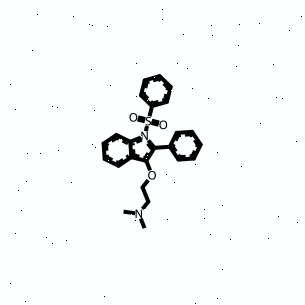 CN(C)CCOc1c(-c2ccccc2)n(S(=O)(=O)c2ccccc2)c2ccccc12